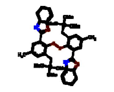 CO[Si](Cc1cc(C)cc(-c2nc3ccccc3s2)c1SSc1c(C[Si](OC)(OC)OC)cc(C)cc1-c1nc2ccccc2s1)(OC)OC